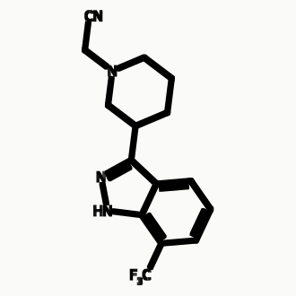 N#CCN1CCCC(c2n[nH]c3c(C(F)(F)F)cccc23)C1